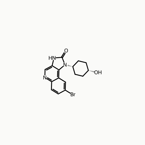 O=c1[nH]c2cnc3ccc(Br)cc3c2n1[C@H]1CC[C@@H](O)CC1